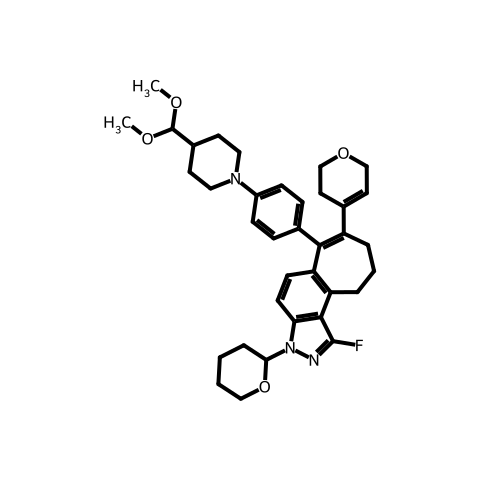 COC(OC)C1CCN(c2ccc(C3=C(C4=CCOCC4)CCCc4c3ccc3c4c(F)nn3C3CCCCO3)cc2)CC1